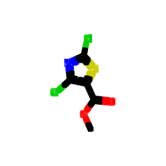 COC(=O)c1sc(Cl)nc1Cl